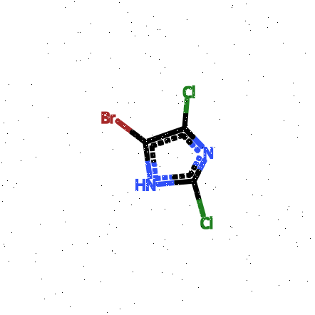 Clc1nc(Cl)c(Br)[nH]1